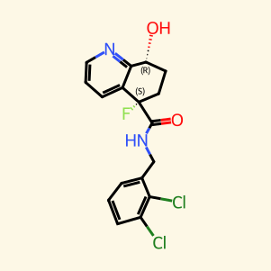 O=C(NCc1cccc(Cl)c1Cl)[C@]1(F)CC[C@@H](O)c2ncccc21